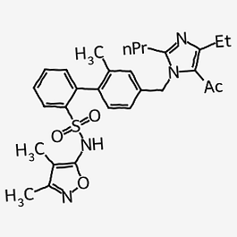 CCCc1nc(CC)c(C(C)=O)n1Cc1ccc(-c2ccccc2S(=O)(=O)Nc2onc(C)c2C)c(C)c1